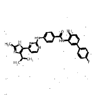 Cc1nc(C(C)C)c(-c2ccnc(Nc3ccc(C(=O)Nc4cc(-c5ccc(F)cc5)ccc4N)cc3)n2)[nH]1